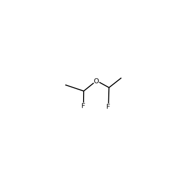 CC(F)OC(C)F